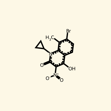 Cc1c(Br)ccc2c(O)c([N+](=O)[O-])c(=O)n(C3CC3)c12